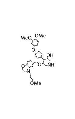 COCCCN1CCOc2ccc(COC3CNCC(O)C3c3ccc(Oc4ccc(OC)c(OC)c4)cc3)cc21